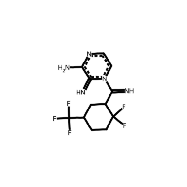 N=C(C1CC(C(F)(F)F)CCC1(F)F)n1ccnc(N)c1=N